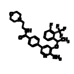 CC(Oc1cc(-c2ccc(C(=O)NCCN3CCOCC3)cc2)cnc1N)c1cccc(F)c1C(F)(F)F